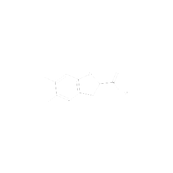 CCc1cc2c(cc1F)NC(C(=O)OC)C2